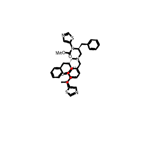 COC(=O)N(c1cncs1)[C@@H](Cc1ccccc1)CN(Cc1ccc(N(C)C)cc1)C[C@@H](Cc1ccccc1)NC(=O)OCc1cncs1